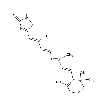 CC(/C=C/C1=C(O)CCCC1(C)C)=C\C=C\C(C)=C\C1=NC(=O)NC1